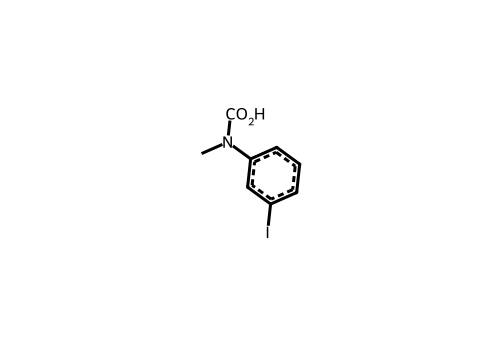 CN(C(=O)O)c1cccc(I)c1